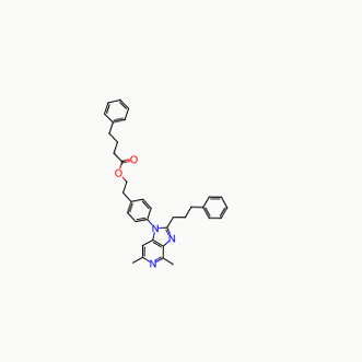 Cc1cc2c(nc(CCCc3ccccc3)n2-c2ccc(CCOC(=O)CCCc3ccccc3)cc2)c(C)n1